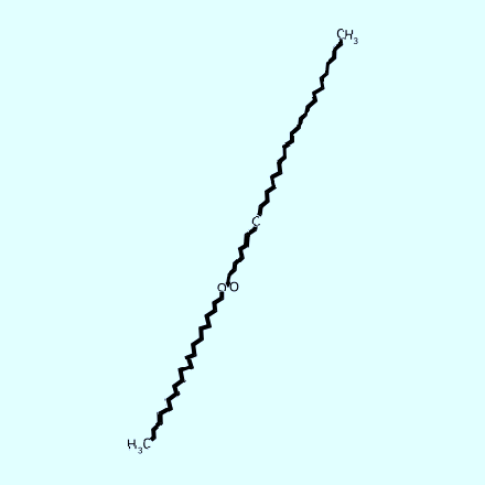 CCCCCCCCCCCCCCCCCCCCCCCCCCCCCCCCCCCC(=O)OCCCCCCCCCCCCCCCCCCCCCC